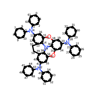 c1ccc(N(c2ccccc2)c2cc3c4c(c2)Oc2cc(N(c5ccccc5)c5ccccc5)cc5c2N4c2c(cc(N(c4ccccc4)c4ccccc4)cc2O5)CC3)cc1